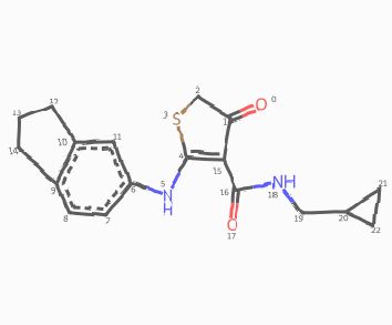 O=C1CSC(Nc2ccc3c(c2)CCC3)=C1C(=O)NCC1CC1